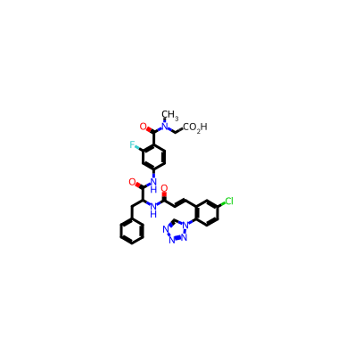 CN(CC(=O)O)C(=O)c1ccc(NC(=O)C(Cc2ccccc2)NC(=O)C=Cc2cc(Cl)ccc2-n2cnnn2)cc1F